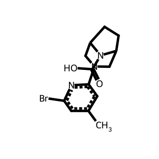 Cc1cc(Br)nc(N2CC3CCC(C2)N3C(=O)O)c1